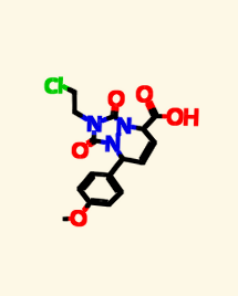 COc1ccc(C2C=CC(C(=O)O)n3c(=O)n(CCCl)c(=O)n32)cc1